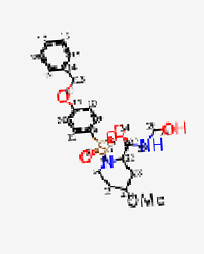 COC1CCN(S(=O)(=O)c2ccc(OCc3ccccc3)cc2)C(C(=O)NCO)C1